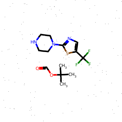 CC(C)(C)OC=O.FC(F)(F)c1cnc(N2CCNCC2)s1